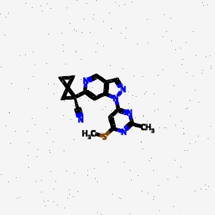 CSc1cc(-n2ncc3cnc([C@]4(C#N)CC45CC5)cc32)nc(C)n1